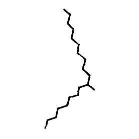 CCCCCCCCCC[C](C)CCCCCCCC